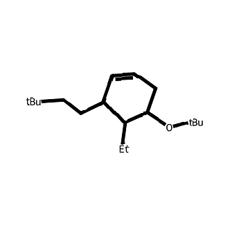 CCC1C(CCC(C)(C)C)C=CCC1OC(C)(C)C